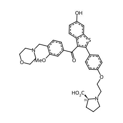 COc1cc(C(=O)c2c(-c3ccc(OCCN4CCC[C@H]4C(=O)O)cc3)sc3cc(O)ccc23)ccc1CN1CCOCC1